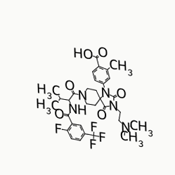 Cc1cc(N2C(=O)N(CCN(C)C)C(=O)C23CCN(C(=O)C(NC(=O)c2cc(C(F)(F)F)ccc2F)C(C)C)CC3)ccc1C(=O)O